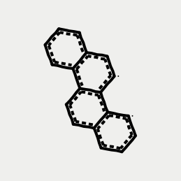 [c]1cccc2ccc3c([c]cc4ccccc43)c12